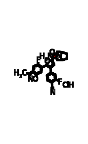 Cc1noc2cc(-c3oc(C(=O)N4C5CCC4CC(N)C5)cc3-c3ccc(C#N)c(F)c3)c(F)cc12.Cl